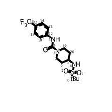 CC(C)(C)S(=O)(=O)NC1CCN(C(=O)Nc2ccc(C(F)(F)F)cc2)CC1